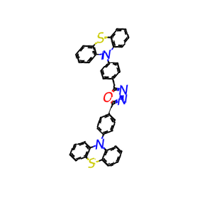 c1ccc2c(c1)Sc1ccccc1N2c1ccc(-c2nnc(-c3ccc(N4c5ccccc5Sc5ccccc54)cc3)o2)cc1